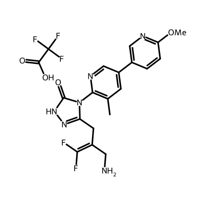 COc1ccc(-c2cnc(-n3c(CC(CN)=C(F)F)n[nH]c3=O)c(C)c2)cn1.O=C(O)C(F)(F)F